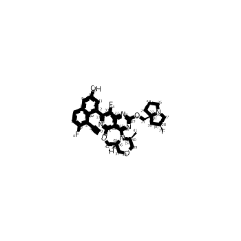 C#Cc1c(F)ccc2cc(O)cc(-c3nc4c5c(nc(OC[C@@]67CCCN6C[C@H](F)C7)nc5c3F)N3[C@@H](COC[C@@H]3C)CO4)c12